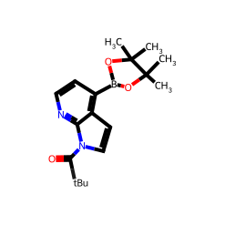 CC(C)(C)C(=O)n1ccc2c(B3OC(C)(C)C(C)(C)O3)ccnc21